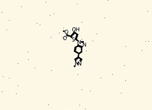 COC(=O)c1sc(-n2cnc3c2C=CC(c2cnn(C)c2)C3)cc1O